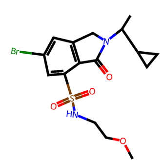 COCCNS(=O)(=O)c1cc(Br)cc2c1C(=O)N(C(C)C1CC1)C2